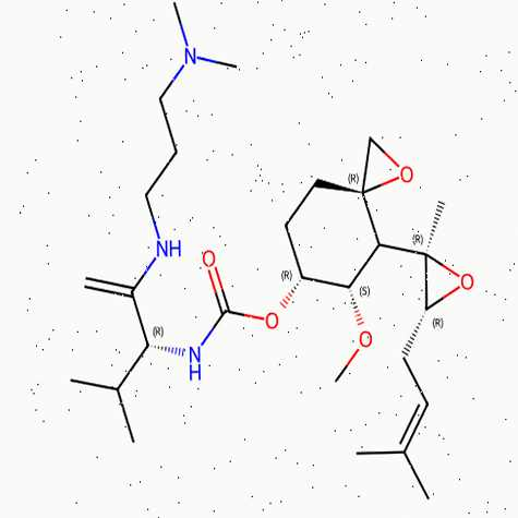 C=C(NCCCN(C)C)[C@H](NC(=O)O[C@@H]1CC[C@]2(CO2)C([C@@]2(C)O[C@@H]2CC=C(C)C)[C@@H]1OC)C(C)C